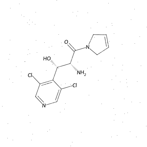 N[C@@H](C(=O)N1CC=CC1)[C@@H](O)c1c(Cl)cncc1Cl